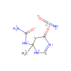 CC1(NC(N)=O)CC(=O)N=CN1.N=C=O